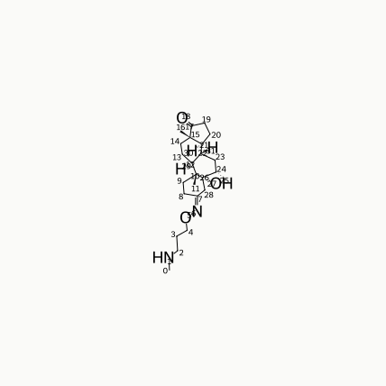 CNCCCON=C1CC[C@]2(C)[C@H]3CC[C@]4(C)C(=O)CC[C@H]4[C@@H]3C[C@H](C)[C@@]2(O)C1